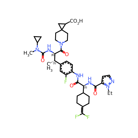 CCn1nccc1C(=O)N[C@H](C(=O)Nc1ccc([C@H](C)[C@@H](NC(=O)N(C)C2CC2)C(=O)N2CCC3(CC2)CC3C(=O)O)cc1F)C1CCC(=C(F)F)CC1